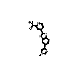 Cn1cnc(-c2ccc3oc(-c4ccnc(C(=O)O)c4)nc3c2)c1